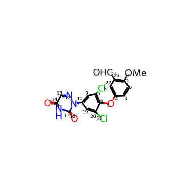 COc1ccc(Oc2c(Cl)cc(-n3ncc(=O)[nH]c3=O)cc2Cl)cc1C=O